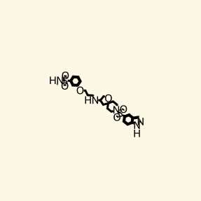 CNS(=O)(=O)c1cccc(OCCCNC2COC3(CCN(S(=O)(=O)c4ccc5[nH]ncc5c4)CC3)C2)c1